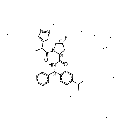 CC(C(=O)N1C[C@H](F)C[C@H]1C(=O)N[C@@H](c1ccccc1)c1ccc(C(C)C)cc1)C1=CN=NC1